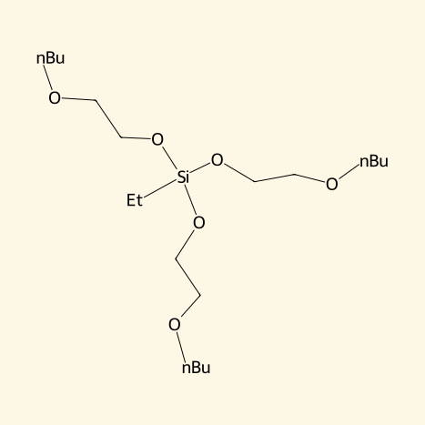 CCCCOCCO[Si](CC)(OCCOCCCC)OCCOCCCC